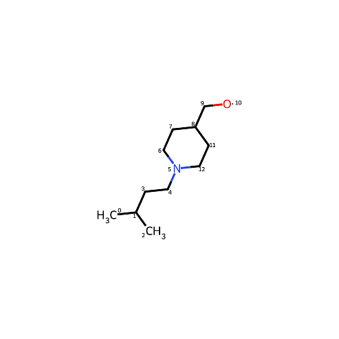 CC(C)CCN1CCC(C[O])CC1